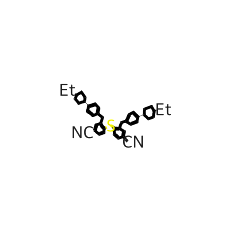 CC[C@H]1CC[C@H](c2ccc(Cc3cc(C#N)ccc3Sc3ccc(C#N)cc3Cc3ccc([C@H]4CC[C@H](CC)CC4)cc3)cc2)CC1